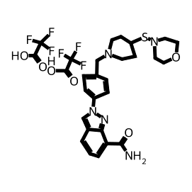 NC(=O)c1cccc2cn(-c3ccc(CN4CCC(SN5CCOCC5)CC4)cc3)nc12.O=C(O)C(F)(F)F.O=C(O)C(F)(F)F